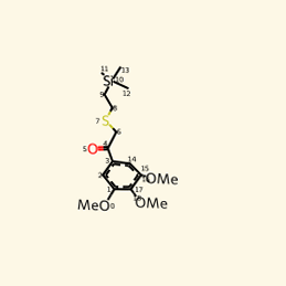 COc1cc(C(=O)CSCC[Si](C)(C)C)cc(OC)c1OC